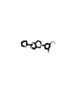 Cc1cc(F)cc(N2CCc3nc(-c4ccccn4)ncc3C2)c1